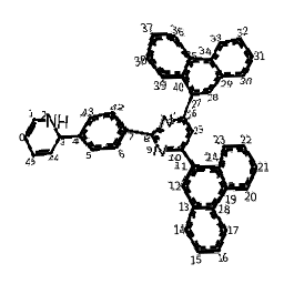 C1=CNC(c2ccc(-c3nc(-c4cc5ccccc5c5ccccc45)cc(-c4cc5ccccc5c5ccccc45)n3)cc2)C=C1